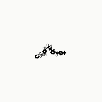 Cc1c(NC(=O)c2ccc(C(C)(C)C)cc2)cccc1-c1cn(C)c(=O)c(Nc2ccc(NC(=O)OC3CCCO3)cc2)n1